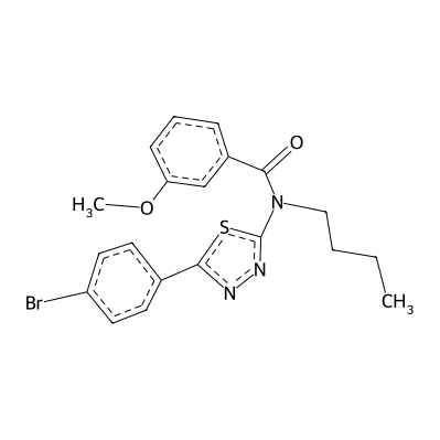 CCCCN(C(=O)c1cccc(OC)c1)c1nnc(-c2ccc(Br)cc2)s1